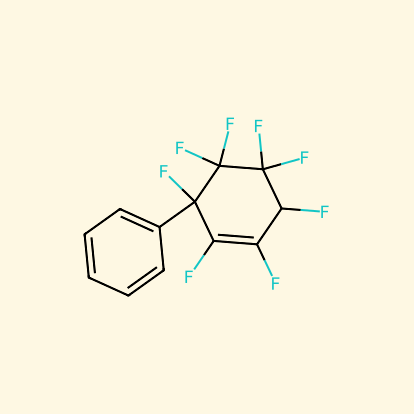 FC1=C(F)C(F)(c2ccccc2)C(F)(F)C(F)(F)C1F